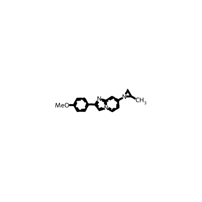 COc1ccc(-c2cn3ccc(N4CC4C)cc3n2)cc1